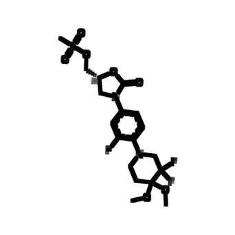 COC1(OC)CCN(c2ccc(N3C[C@H](COS(C)(=O)=O)OC3=O)cc2F)CC1(F)F